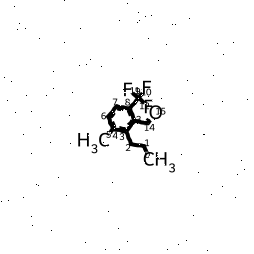 CCCc1c(C)ccc(C(F)(F)F)c1C=O